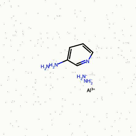 Nc1cccnc1.[Al+3].[NH2-].[NH2-].[NH2-]